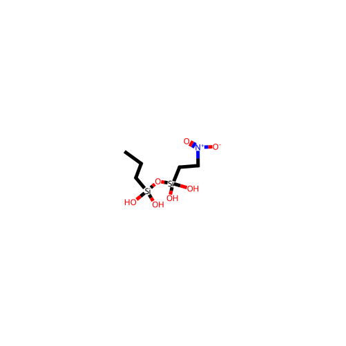 CCC[Si](O)(O)O[Si](O)(O)CC[N+](=O)[O-]